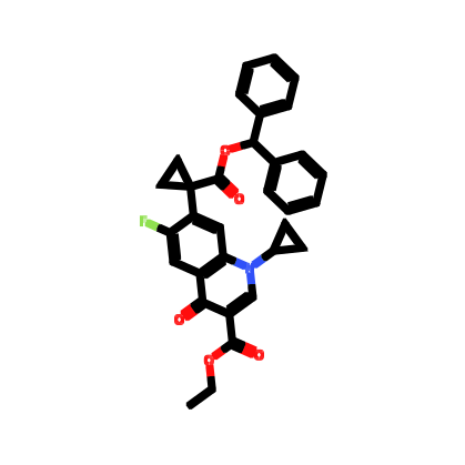 CCOC(=O)c1cn(C2CC2)c2cc(C3(C(=O)OC(c4ccccc4)c4ccccc4)CC3)c(F)cc2c1=O